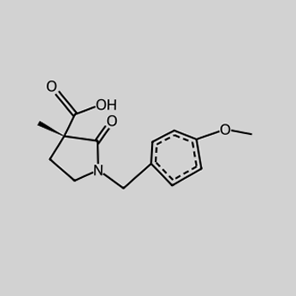 COc1ccc(CN2CC[C@](C)(C(=O)O)C2=O)cc1